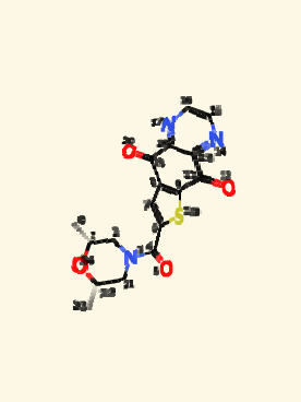 C[C@@H]1CN(C(=O)c2cc3c(s2)C(=O)c2nccnc2C3=O)C[C@H](C)O1